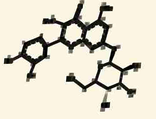 COc1c(-c2ccc(O)c(O)c2)oc2cc(O[C@@H]3OC(CO)[C@@H](O)C(O)[C@@H]3O)cc(OC)c2c1=O